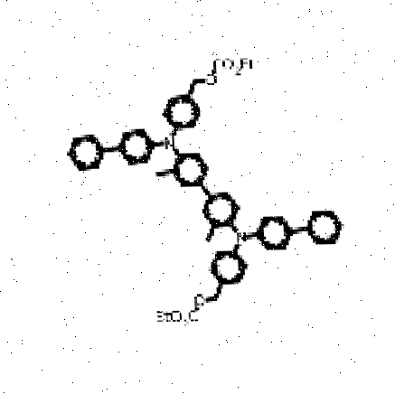 CCOC(=O)OCc1ccc(N(c2ccc(-c3ccccc3)cc2)c2ccc(-c3ccc(N(c4ccc(COC(=O)OCC)cc4)c4ccc(-c5ccccc5)cc4)c(C)c3)cc2C)cc1